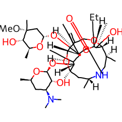 C=C1CO[C@@H]2[C@@H](C)CN[C@H](C)C[C@@](C)(OC1)[C@H](O[C@@H]1O[C@H](C)C[C@H](N(C)C)[C@H]1O)[C@@H](C)[C@H](O[C@H]1C[C@@](C)(OC)[C@@H](O)[C@H](C)O1)[C@@H](C)C(=O)O[C@H](CC)[C@@]2(C)O